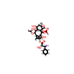 CC(=O)O[C@H]1C(=O)[C@@]2(C)[C@H](C(O)[C@]3(O)C[C@H](OC(=O)[C@H](O)C(I)c4ccccc4)C(C)=C1C3(C)C)[C@]1(OC(C)=O)CO[C@@H]1C[C@@H]2O